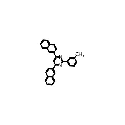 Cc1cccc(-c2nc(-c3ccc4ccccc4c3)cc(-c3ccc4ccccc4c3)n2)c1